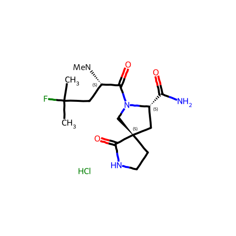 CN[C@@H](CC(C)(C)F)C(=O)N1C[C@]2(CCNC2=O)C[C@H]1C(N)=O.Cl